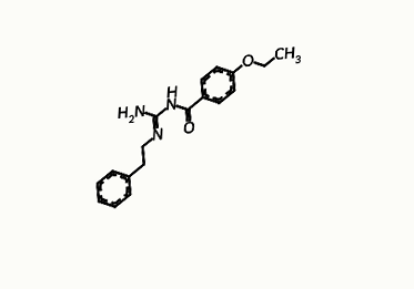 CCOc1ccc(C(=O)NC(N)=NCCc2ccccc2)cc1